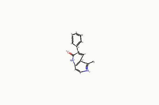 Cc1nccc2[nH]c(=O)c(-c3ccccc3)cc12